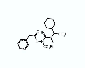 CCOC(=O)N(OC(=O)Cc1ccccc1)C(=N)N(C)C(C(=O)O)C1CCCCC1